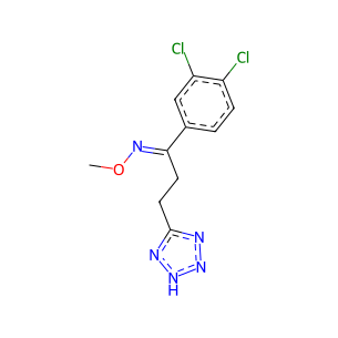 CO/N=C(\CCc1nn[nH]n1)c1ccc(Cl)c(Cl)c1